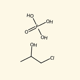 CC(O)CCl.O=P(O)(O)O